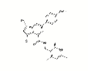 C=C1NC(C)=CC(C)=C1CNC(=O)c1cc(-c2ccc(OC)cc2)cc2c1c(Cl)cn2C(C)C